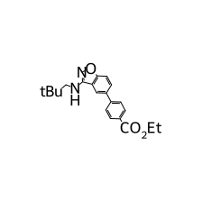 CCOC(=O)c1ccc(-c2ccc3onc(NCC(C)(C)C)c3c2)cc1